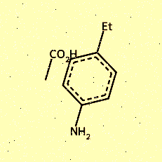 CC(=O)O.CCc1ccc(N)cc1